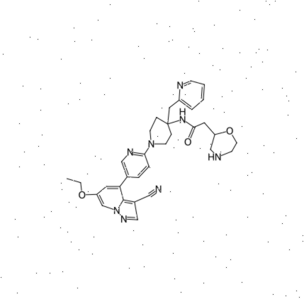 CCOc1cc(-c2ccc(N3CCC(Cc4ccccn4)(NC(=O)CC4CNCCO4)CC3)nc2)c2c(C#N)cnn2c1